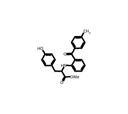 COC(=O)C(Cc1ccc(O)cc1)Nc1ccccc1C(=O)c1ccc(C)cc1